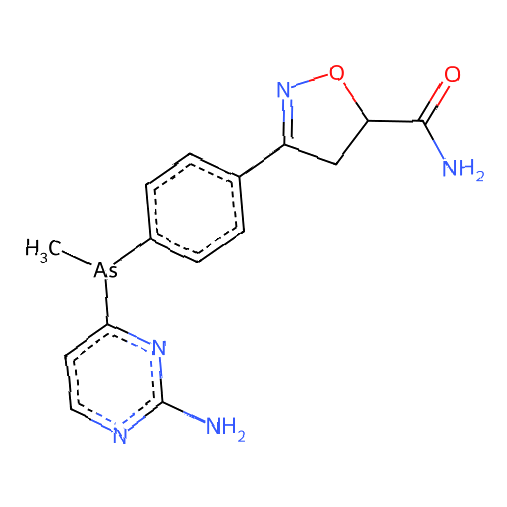 C[As](c1ccc(C2=NOC(C(N)=O)C2)cc1)c1ccnc(N)n1